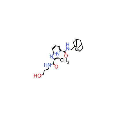 Cc1c(C(=O)NCCCO)nc2cccc(C(=O)NCC34CC5CC(CC(C5)C3)C4)n12